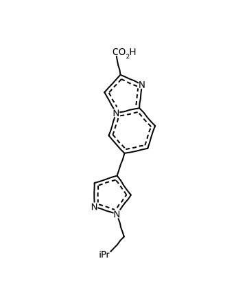 CC(C)Cn1cc(-c2ccc3nc(C(=O)O)cn3c2)cn1